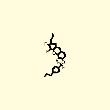 CCCc1ccc(C(F)(F)Oc2ccc3c(c2F)Oc2c(cc(CCC)c(F)c2F)C3)cc1